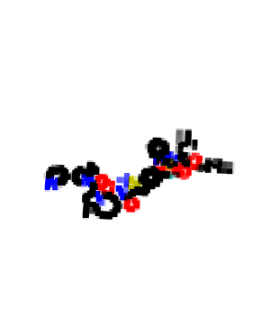 C[C@H](NP(=O)(Oc1ccccc1)[C@@H](F)c1ccc2sc(C(=O)N[C@H]3CCCC[C@H]4CC[C@@H](C(=O)N5C[C@@H](c6cccnc6)CC56CC6)N4C3=O)cc2c1)C(=O)OCC(C)(C)C